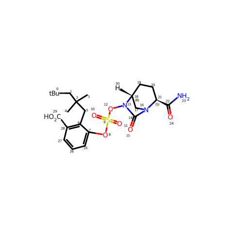 CC(C)(C)CC(C)(C)Cc1c(OS(=O)(=O)ON2C(=O)N3C[C@H]2CC[C@H]3C(N)=O)cccc1C(=O)O